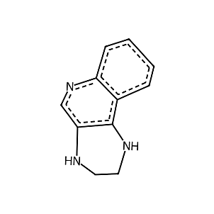 c1ccc2c3c(cnc2c1)NCCN3